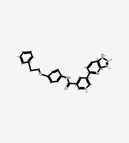 O=C(Nc1ccc(OCCc2ccccc2)cc1)c1cncc(-c2ccc3[nH]nnc3n2)c1